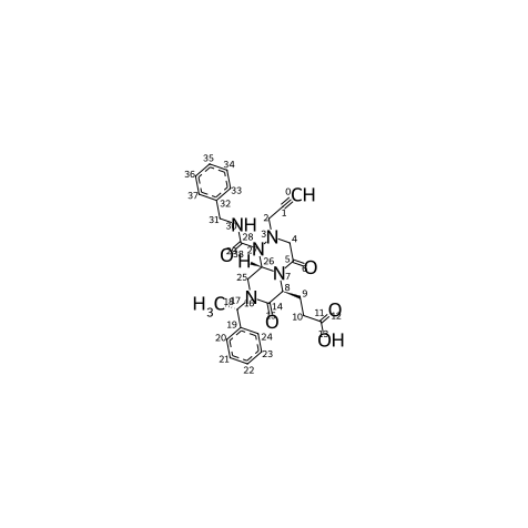 C#CCN1CC(=O)N2[C@@H](CCC(=O)O)C(=O)N([C@@H](C)c3ccccc3)C[C@@H]2N1C(=O)NCc1ccccc1